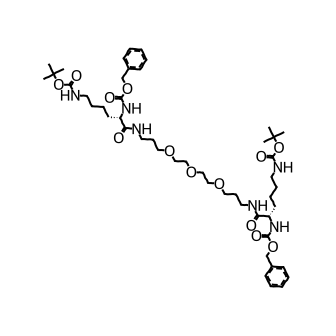 CC(C)(C)OC(=O)NCCCC[C@H](NC(=O)OCc1ccccc1)C(=O)NCCCOCCOCCOCCCNC(=O)[C@H](CCCCNC(=O)OC(C)(C)C)NC(=O)OCc1ccccc1